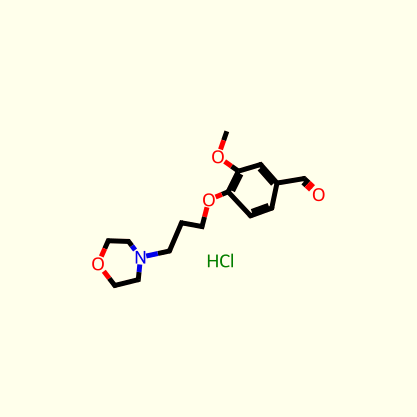 COc1cc(C=O)ccc1OCCCN1CCOCC1.Cl